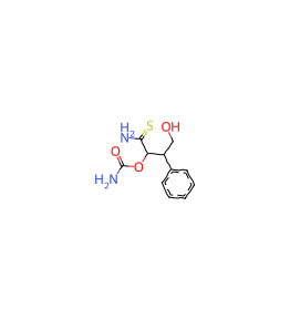 NC(=O)OC(C(N)=S)C(CO)c1ccccc1